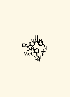 CCC(=O)c1cnc(Nc2ccc(CN(C)CC(C)(C)F)cn2)cc1N(C)c1cccc(-c2ncn(C)n2)c1OC